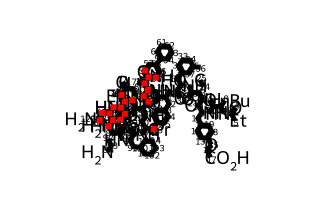 CCCCC(NC(=O)CC)C(=O)NC(Cc1ccc(OCC(=O)O)cc1)C(=O)N[C@@H](CC(=O)O)C(=O)NC(Cc1cccc(C)c1)C(=O)NC(Cc1ccc(C(=O)O)cc1)C(=O)NC(Cc1ccc(-c2ccccc2)cc1)C(=O)N[C@@H](CCC(N)=O)C(=O)N(C)[C@@H](C)C(=O)N[C@H](CC(C)C)C(=O)N[C@@H](CCN)C(=O)NC(CC1CCCCC1)C(=O)NC(C(=O)NC(CCCN)C(=O)N[C@@H](CC)C(=O)NC(CCN)C(N)=O)C(C)C